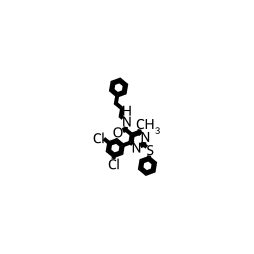 Cc1nc(Sc2ccccc2)nc(-c2cc(Cl)cc(Cl)c2)c1C(=O)NCCCc1ccccc1